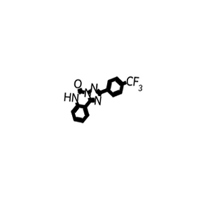 O=c1[nH]c2ccccc2c2nc(-c3ccc(C(F)(F)F)cc3)nn12